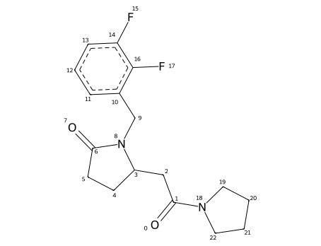 O=C(CC1CCC(=O)N1Cc1cccc(F)c1F)N1CCCC1